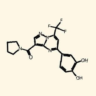 O=C(c1cnn2c(C(F)(F)F)cc(-c3ccc(O)c(O)c3)nc12)N1CCCC1